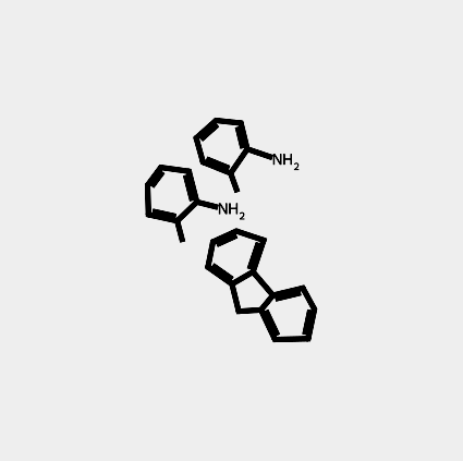 Cc1ccccc1N.Cc1ccccc1N.c1ccc2c(c1)Cc1ccccc1-2